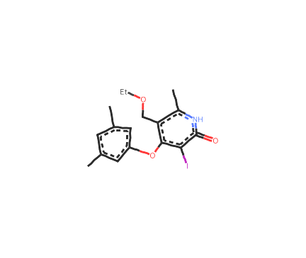 CCOCc1c(C)[nH]c(=O)c(I)c1Oc1cc(C)cc(C)c1